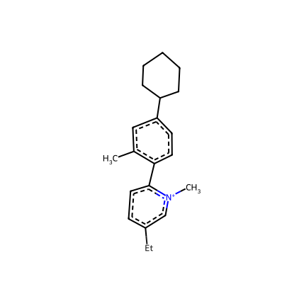 CCc1ccc(-c2ccc(C3CCCCC3)cc2C)[n+](C)c1